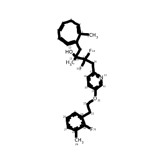 C/C1=C/C/C=C\C=C=C1CC(C)(O)C(F)(F)Cc1ccc(OCCc2cccc(C)c2F)cn1